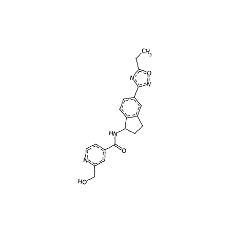 CCc1nc(-c2ccc3c(c2)CCC3NC(=O)c2ccnc(CO)c2)no1